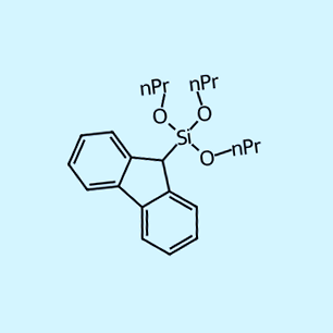 CCCO[Si](OCCC)(OCCC)C1c2ccccc2-c2ccccc21